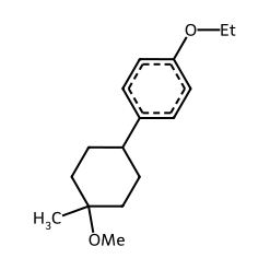 CCOc1ccc(C2CCC(C)(OC)CC2)cc1